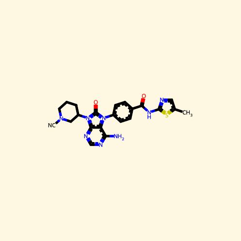 Cc1cnc(NC(=O)c2ccc(-n3c(=O)n(C4CCCN(C#N)C4)c4ncnc(N)c43)cc2)s1